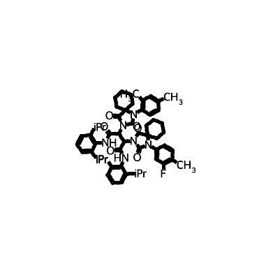 Cc1ccc(N2C(=O)N(C(C(=O)Nc3c(C(C)C)cccc3C(C)C)C(C(=O)Nc3c(C(C)C)cccc3C(C)C)N3C(=O)N(c4ccc(C)c(F)c4)C4(CCCCC4)C3=O)C(=O)C23CCCCC3)c(C)c1